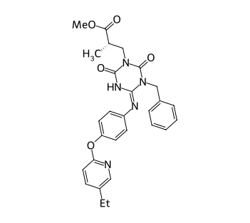 CCc1ccc(Oc2ccc(/N=c3\[nH]c(=O)n(C[C@H](C)C(=O)OC)c(=O)n3Cc3ccccc3)cc2)nc1